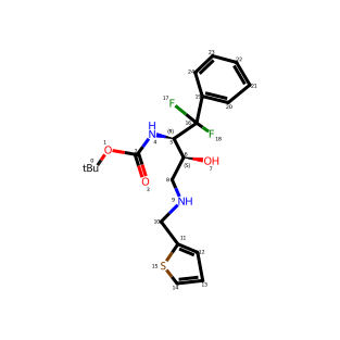 CC(C)(C)OC(=O)N[C@H]([C@@H](O)CNCc1cccs1)C(F)(F)c1ccccc1